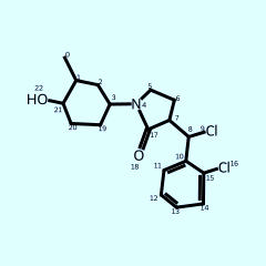 CC1CC(N2CCC(C(Cl)c3ccccc3Cl)C2=O)CCC1O